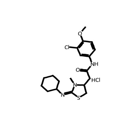 COc1ccc(NC(=O)CC2CSC(=NC3CCCCC3)N2C)cc1Cl.Cl